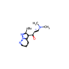 CCCCc1nn2ncccc2c1C(=O)/C=C/N(C)C